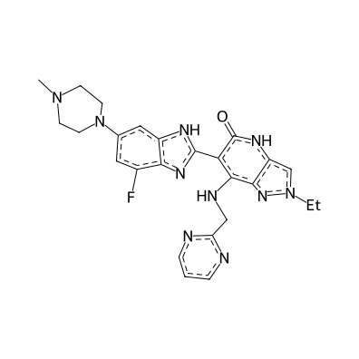 CCn1cc2[nH]c(=O)c(-c3nc4c(F)cc(N5CCN(C)CC5)cc4[nH]3)c(NCc3ncccn3)c2n1